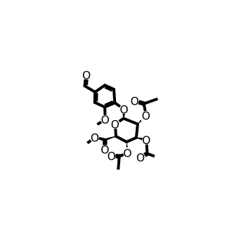 COC(=O)[C@H]1O[C@@H](Oc2ccc(C=O)cc2OC)[C@H](OC(C)=O)[C@@H](OC(C)=O)[C@@H]1OC(C)=O